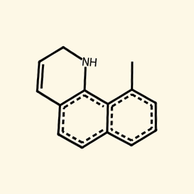 Cc1cccc2ccc3c(c12)NCC=C3